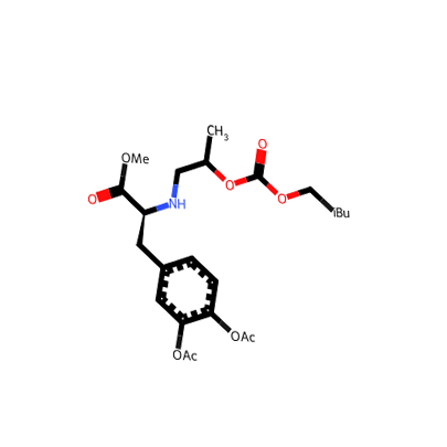 CCC(C)COC(=O)OC(C)CN[C@@H](Cc1ccc(OC(C)=O)c(OC(C)=O)c1)C(=O)OC